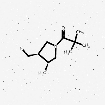 C[C@@H]1CN(C(=O)C(C)(C)C)C[C@@H]1CF